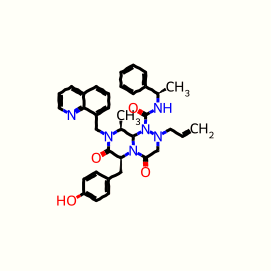 C=CCN1CC(=O)N2C([C@H](C)N(Cc3cccc4cccnc34)C(=O)[C@@H]2Cc2ccc(O)cc2)N1C(=O)N[C@H](C)c1ccccc1